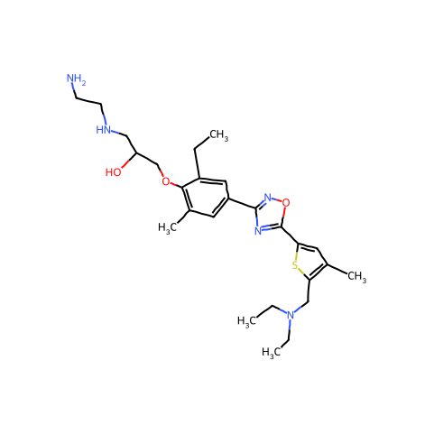 CCc1cc(-c2noc(-c3cc(C)c(CN(CC)CC)s3)n2)cc(C)c1OCC(O)CNCCN